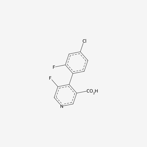 O=C(O)c1cncc(F)c1-c1ccc(Cl)cc1F